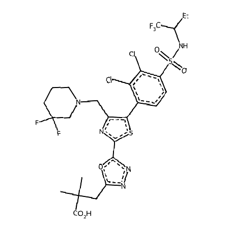 CCC(NS(=O)(=O)c1ccc(-c2sc(-c3nnc(CC(C)(C)C(=O)O)o3)nc2CN2CCCC(F)(F)C2)c(Cl)c1Cl)C(F)(F)F